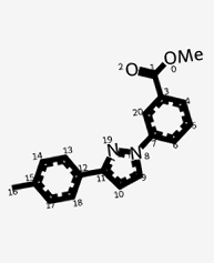 COC(=O)c1cccc(-n2ccc(-c3ccc(C)cc3)n2)c1